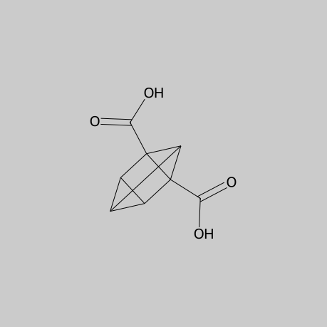 O=C(O)C12C3C4C3C1(C(=O)O)C42